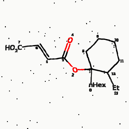 CCCCCCC1(OC(=O)C=CC(=O)O)CCCCC1CC